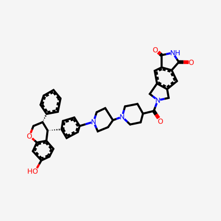 O=C1NC(=O)c2cc3c(cc21)CN(C(=O)C1CCN(C2CCN(c4ccc([C@@H]5c6ccc(O)cc6OC[C@@H]5c5ccccc5)cc4)CC2)CC1)C3